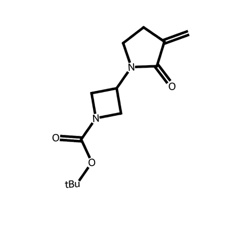 C=C1CCN(C2CN(C(=O)OC(C)(C)C)C2)C1=O